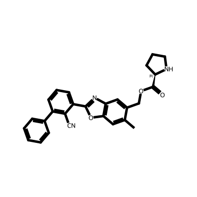 Cc1cc2oc(-c3cccc(-c4ccccc4)c3C#N)nc2cc1COC(=O)[C@H]1CCCN1